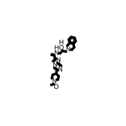 C=C(NC[C@H](O)CN1CCc2ccccc2C1)c1cn2cc(C3CCN(C(C)=O)CC3)ncc2n1